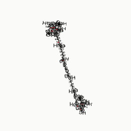 CC1C(OC(CC(=O)O)C(O)C(O)C(O)OCCCCCCNC(=O)CCCCCCCNC(=O)CCOCCCOCCC(=O)NCCCCCCCC(=O)NCCCCCCOC(O)C(OS(=O)(=O)O)C(O)C(CC(=O)O)OC2OC(COS(=O)(=O)O)C(O)C(O)C2C)OC(COS(=O)(=O)O)C(O)C1O